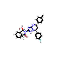 Cc1ccc([C@@H]2C[C@H](c3ccc(F)cc3)n3nc(N4C(=O)[C@H]5CC=CC[C@H]5C4=O)nc3N2)cc1